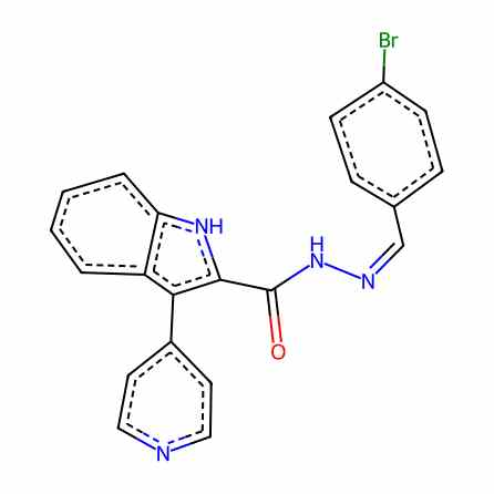 O=C(N/N=C\c1ccc(Br)cc1)c1[nH]c2ccccc2c1-c1ccncc1